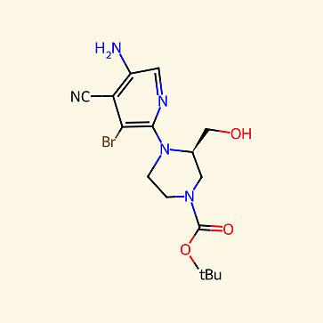 CC(C)(C)OC(=O)N1CCN(c2ncc(N)c(C#N)c2Br)[C@@H](CO)C1